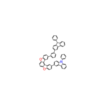 c1ccc(C2c3ccccc3-c3cc(-c4cccc(-c5ccc6oc7ccc8oc9ccc(-c%10ccc%11c(c%10)c%10ccccc%10n%11-c%10ccccc%10)cc9c8c7c6c5)c4)ccc32)cc1